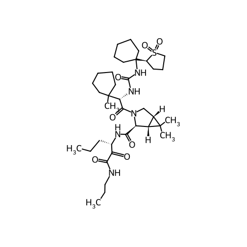 CCCNC(=O)C(=O)[C@H](CCC)NC(=O)[C@@H]1[C@@H]2[C@H](CN1C(=O)[C@@H](NC(=O)NC1([C@@H]3CCCS3(=O)=O)CCCCC1)C1(C)CCCCC1)C2(C)C